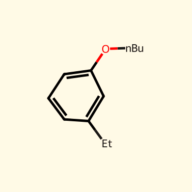 [CH2]Cc1cccc(OCCCC)c1